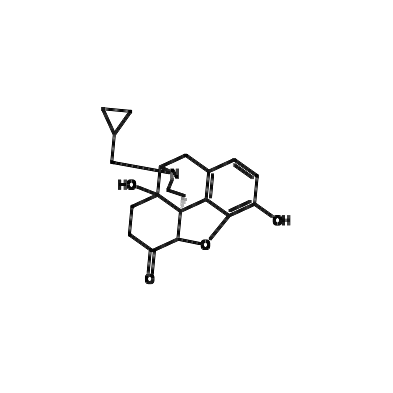 O=C1CCC2(O)C3Cc4ccc(O)c5c4[C@@]2(CCN3CC2CC2)C1O5